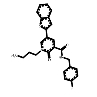 CCCCn1cc(-c2cc3ccccc3s2)cc(C(=O)NCc2ccc(F)cc2)c1=O